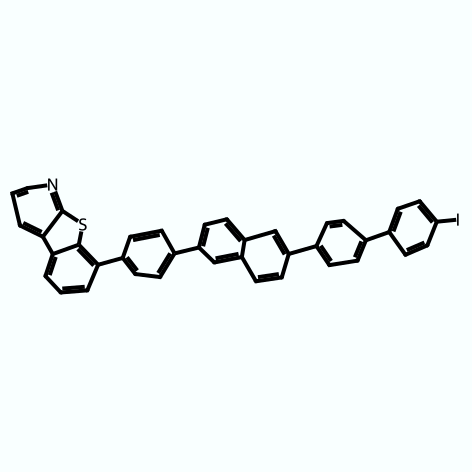 Ic1ccc(-c2ccc(-c3ccc4cc(-c5ccc(-c6cccc7c6sc6ncccc67)cc5)ccc4c3)cc2)cc1